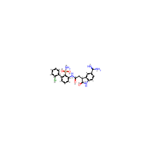 N=C(N)c1ccc2c(c1)C(CC(=O)Nc1cccc(-c3ccccc3Br)c1S(N)(=O)=O)C(=O)N2